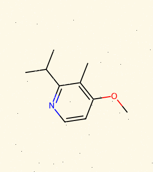 COc1ccnc(C(C)C)c1C